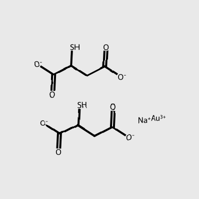 O=C([O-])CC(S)C(=O)[O-].O=C([O-])CC(S)C(=O)[O-].[Au+3].[Na+]